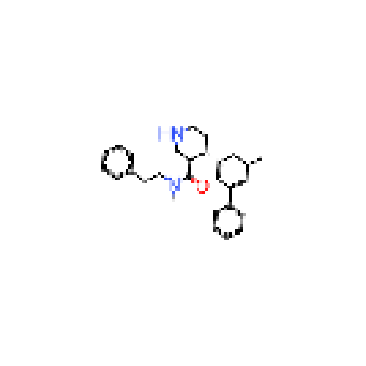 CC1C=C(c2ccccc2)C=C([C@H]2CCNC[C@@H]2C(=O)N(C)CCc2ccccc2)C1